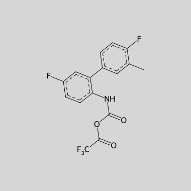 Cc1cc(-c2cc(F)ccc2NC(=O)OC(=O)C(F)(F)F)ccc1F